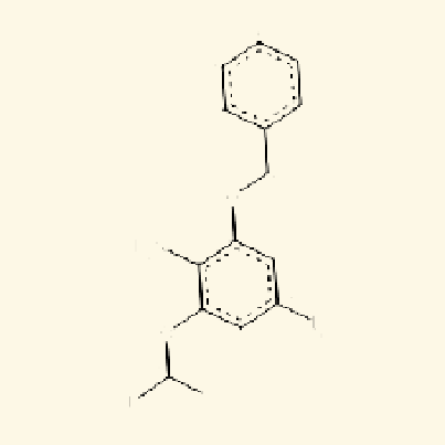 Nc1c(OCc2ccccc2)cc(Br)cc1OC(F)F